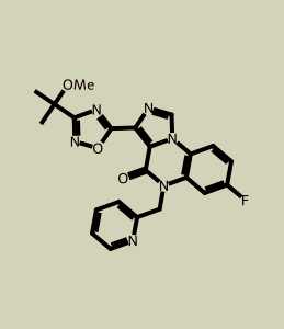 COC(C)(C)c1noc(-c2ncn3c2c(=O)n(Cc2ccccn2)c2cc(F)ccc23)n1